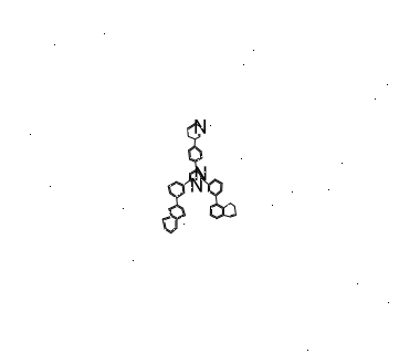 C1=Cc2cccc(-c3cccc(-c4nc(-c5ccc(C6C=NC=CC6)cc5)cc(-c5cccc(-c6ccc7ccccc7c6)c5)n4)c3)c2CC1